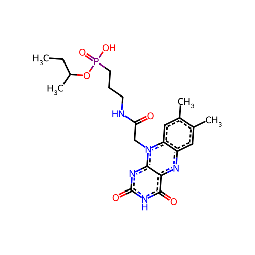 CCC(C)OP(=O)(O)CCCNC(=O)Cn1c2nc(=O)[nH]c(=O)c-2nc2cc(C)c(C)cc21